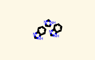 c1c[nH]cn1.c1ccc2[nH]cnc2c1.c1ccc2[nH]cnc2c1